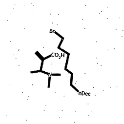 C=C(C(=O)O)C(C)N(C)C.CCCCCCCCCCCCCCCCBr